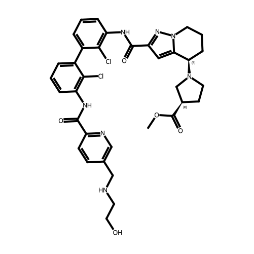 COC(=O)[C@@H]1CCN([C@@H]2CCCn3nc(C(=O)Nc4cccc(-c5cccc(NC(=O)c6ccc(CNCCO)cn6)c5Cl)c4Cl)cc32)C1